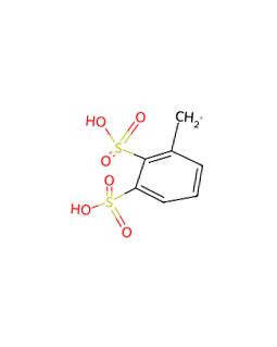 [CH2]c1cccc(S(=O)(=O)O)c1S(=O)(=O)O